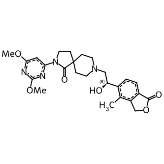 COc1cc(N2CCC3(CCN(C[C@H](O)c4ccc5c(c4C)COC5=O)CC3)C2=O)nc(OC)n1